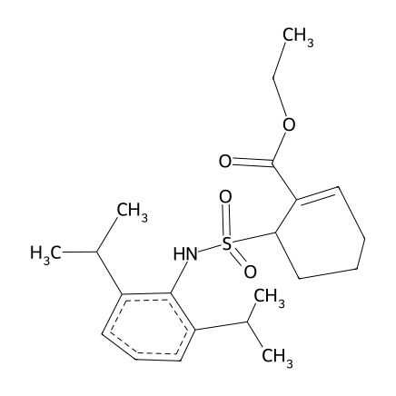 CCOC(=O)C1=CCCCC1S(=O)(=O)Nc1c(C(C)C)cccc1C(C)C